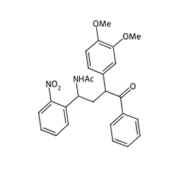 COc1ccc(C(CC(NC(C)=O)c2ccccc2[N+](=O)[O-])C(=O)c2ccccc2)cc1OC